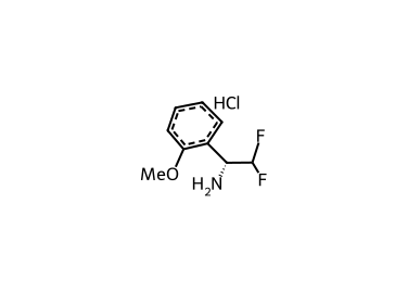 COc1ccccc1[C@@H](N)C(F)F.Cl